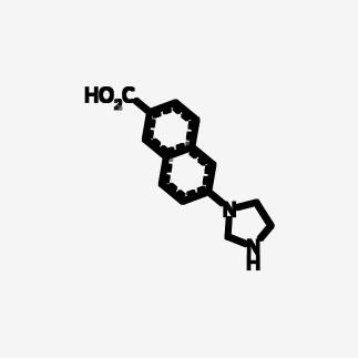 O=C(O)c1ccc2cc(N3CCNC3)ccc2c1